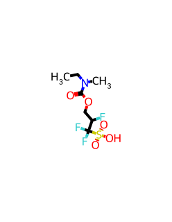 CCN(C)C(=O)OCC(F)C(F)(F)S(=O)(=O)O